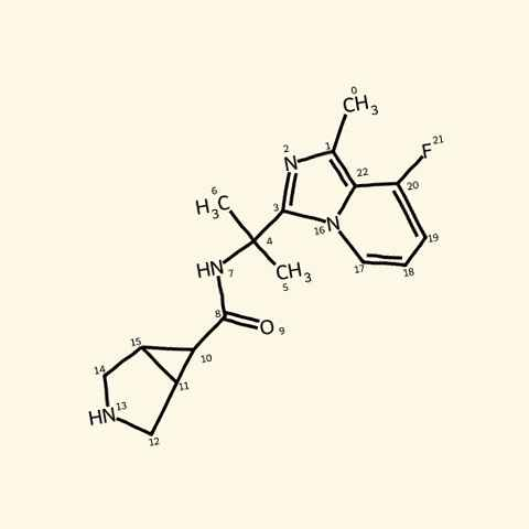 Cc1nc(C(C)(C)NC(=O)C2C3CNCC32)n2cccc(F)c12